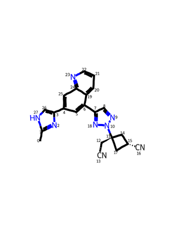 Cc1nc(-c2cc(-c3cnn([C@]4(CC#N)C[C@H](C#N)C4)n3)c3cccnc3c2)c[nH]1